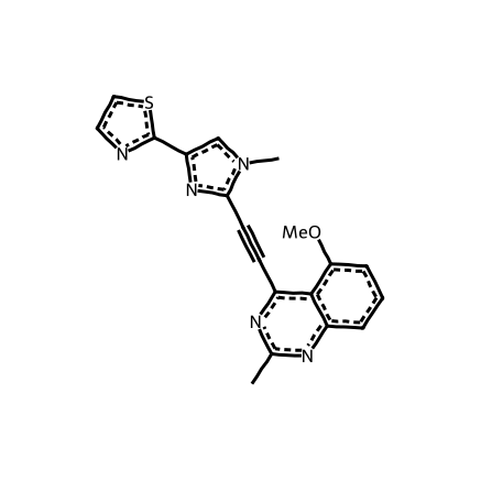 COc1cccc2nc(C)nc(C#Cc3nc(-c4nccs4)cn3C)c12